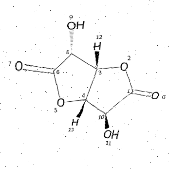 O=C1O[C@@H]2[C@@H](OC(=O)[C@@H]2O)[C@@H]1O